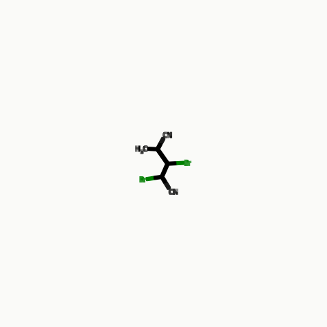 CC(C#N)C(Br)C(Br)C#N